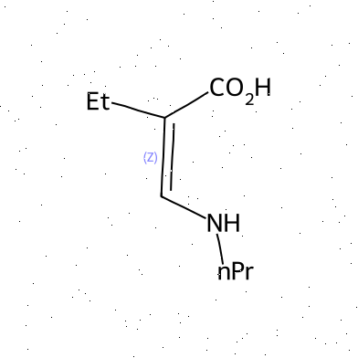 CCCN/C=C(/CC)C(=O)O